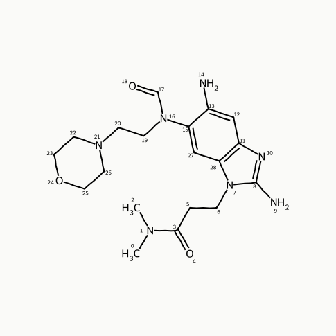 CN(C)C(=O)CCn1c(N)nc2cc(N)c(N(C=O)CCN3CCOCC3)cc21